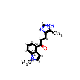 Cc1[nH]cnc1CCC(=O)c1cccc2c1ccn2C